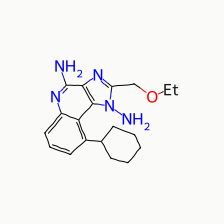 CCOCc1nc2c(N)nc3cccc(C4CCCCC4)c3c2n1N